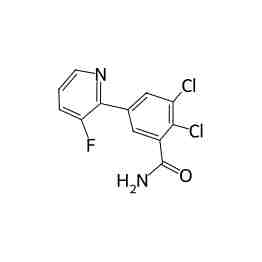 NC(=O)c1cc(-c2ncccc2F)cc(Cl)c1Cl